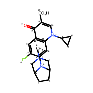 CN1CC2CCC(C1)N2c1cc2c(cc1F)c(=O)c(C(=O)O)cn2C1CC1